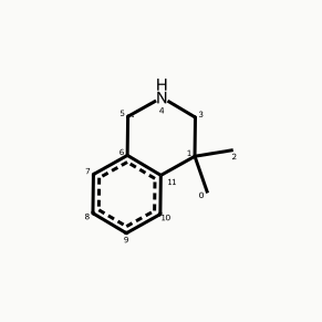 CC1(C)CN[CH]c2ccccc21